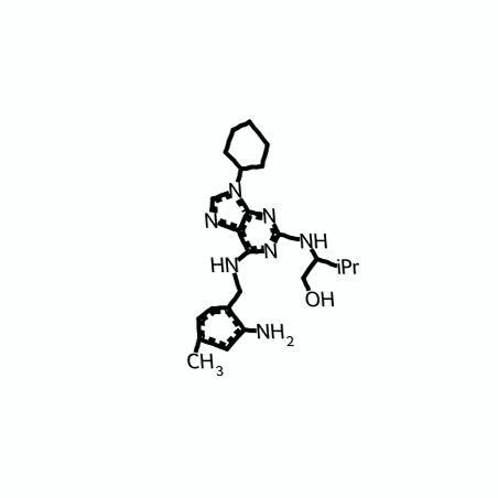 Cc1ccc(CNc2nc(NC(CO)C(C)C)nc3c2ncn3C2CCCCC2)c(N)c1